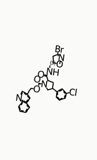 O=C(NC[C@@H]1CC(Br)=NO1)C1CC(c2cccc(Cl)c2)CN1C(=O)OCc1cnc2ccccc2c1